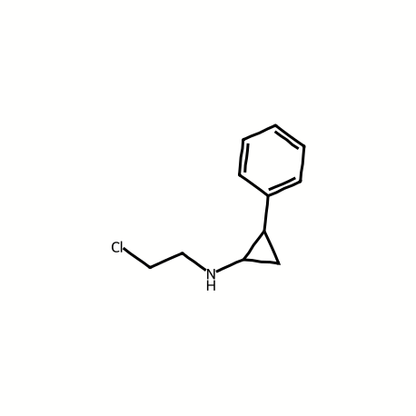 ClCCNC1CC1c1ccccc1